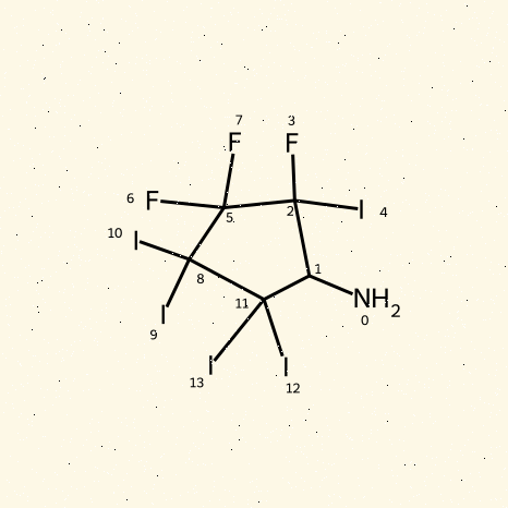 NC1C(F)(I)C(F)(F)C(I)(I)C1(I)I